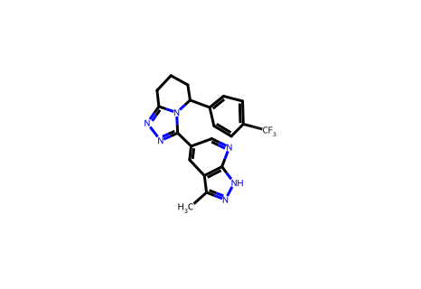 Cc1n[nH]c2ncc(-c3nnc4n3C(c3ccc(C(F)(F)F)cc3)CCC4)cc12